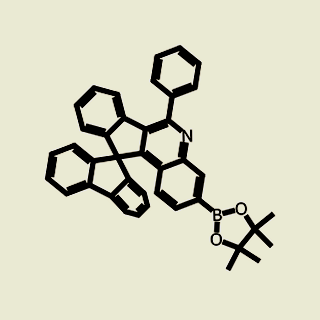 CC1(C)OB(c2ccc3c4c(c(-c5ccccc5)nc3c2)-c2ccccc2C42c3ccccc3-c3ccccc32)OC1(C)C